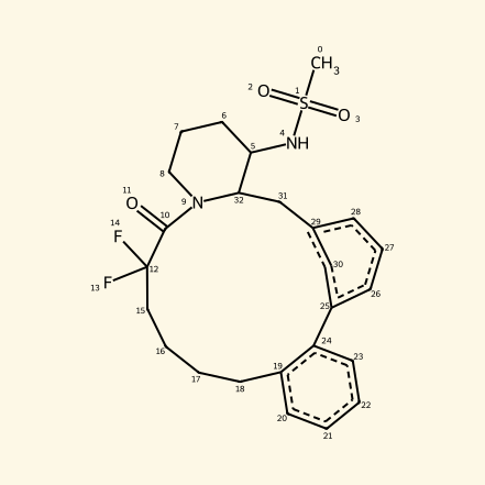 CS(=O)(=O)NC1CCCN2C(=O)C(F)(F)CCCCc3ccccc3-c3cccc(c3)CC12